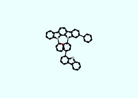 c1ccc(-c2ccc3c4ccc5c6ccccc6n(-c6ccccc6)c5c4n(-c4ccc(-c5cccc6c5oc5ccccc56)cc4)c3c2)cc1